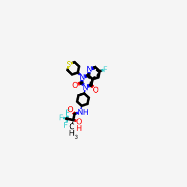 C[C@@](O)(C(=O)N[C@H]1CC[C@@H](n2c(=O)c3cc(F)cnc3n(C3CCSCC3)c2=O)CC1)C(F)(F)F